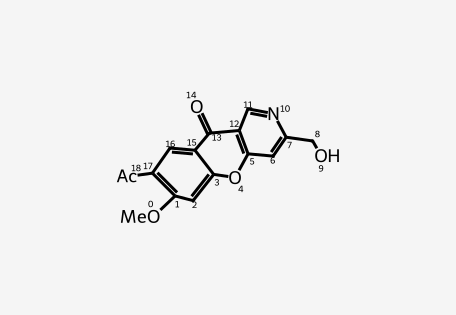 COc1cc2oc3cc(CO)ncc3c(=O)c2cc1C(C)=O